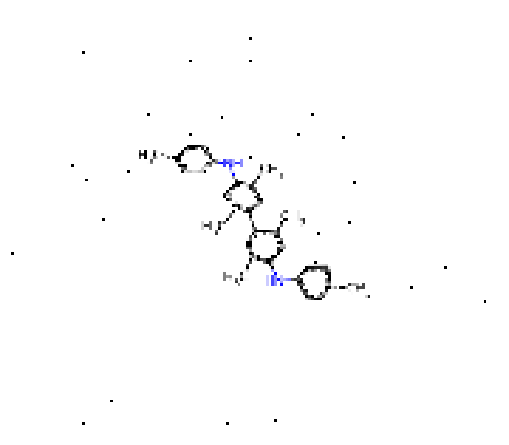 Cc1ccc(Nc2cc(C)c(-c3cc(C)c(Nc4ccc(C)cc4)cc3C)cc2C)cc1